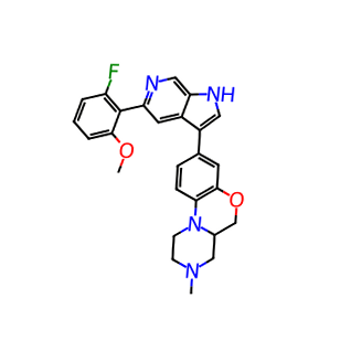 COc1cccc(F)c1-c1cc2c(-c3ccc4c(c3)OCC3CN(C)CCN43)c[nH]c2cn1